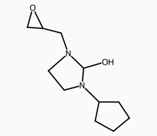 OC1N(CC2CO2)CCN1C1CCCC1